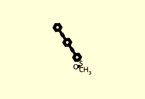 CC(=O)Sc1ccc(C#Cc2ccc(C#Cc3ccccc3)cc2)cc1